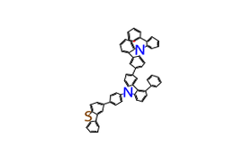 c1ccc(-c2ccccc2-n2c3ccccc3c3cc(-c4ccc5c(c4)c4c(-c6ccccc6)cccc4n5-c4ccc(-c5ccc6sc7ccccc7c6c5)cc4)ccc32)cc1